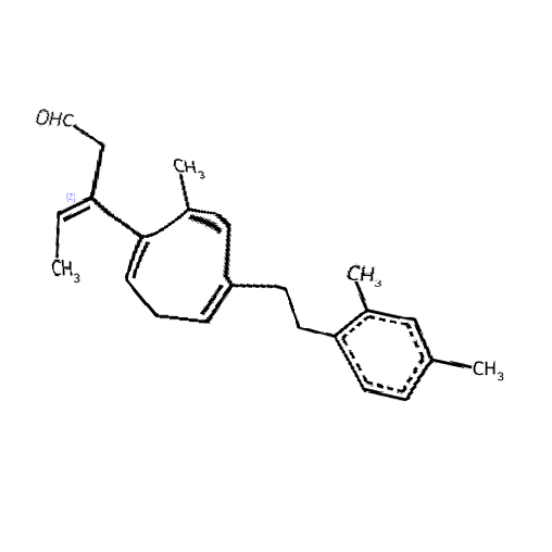 C/C=C(/CC=O)C1=CCC=C(CCc2ccc(C)cc2C)C=C1C